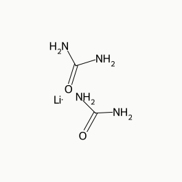 NC(N)=O.NC(N)=O.[Li]